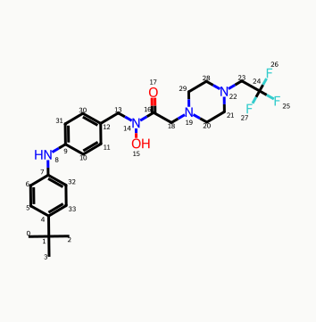 CC(C)(C)c1ccc(Nc2ccc(CN(O)C(=O)CN3CCN(CC(F)(F)F)CC3)cc2)cc1